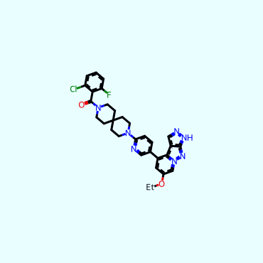 CCOc1cc(-c2ccc(N3CCC4(CCN(C(=O)c5c(F)cccc5Cl)CC4)CC3)nc2)c2c3cn[nH]c3nn2c1